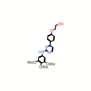 COc1cc(Nc2nccc(-c3ccc(OCCO)cc3)n2)cc(OC)c1OC